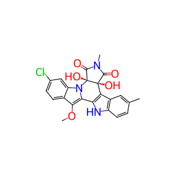 COc1c2n(c3cc(Cl)ccc13)[C@]1(O)C(=O)N(C)C(=O)[C@]1(O)c1c-2[nH]c2ccc(C)cc12